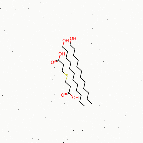 CCCCCCCCCCCCO.CCCCCCCCCCCCO.O=C(O)CCSCCC(=O)O